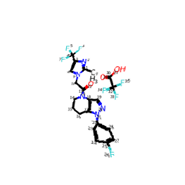 Cc1nc(C(F)(F)F)cn1CC(=O)N1CCCc2c1cnn2-c1ccc(F)cc1.O=C(O)C(F)(F)F